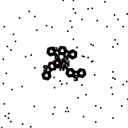 C1=C(c2nc(-c3ccc4sc5ccccc5c4c3)nc(-n3c4ccccc4c4ccc5c6ccccc6n(-c6ccccc6)c5c43)n2)CC2c3ccccc3SC2C1